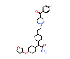 NC(=O)C(C1CCC(CCN2CCC(C(=O)c3ccc(F)cc3)CC2)CC1)C1CCC(OC2CCOC2)CC1